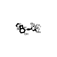 CCCCC(C)C[C@@H](C#C[C@@H]1[C@H]2CC3(OCCO3)[C@H]2CC[C@H]1O)O[Si](C)(C)C(C)(C)C